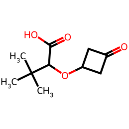 CC(C)(C)C(OC1CC(=O)C1)C(=O)O